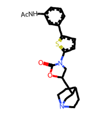 CC(=O)Nc1cccc(-c2ccc(N3CC(C4CN5CCC4CC5)OC3=O)s2)c1